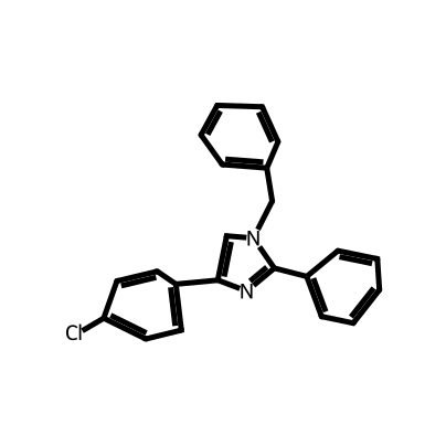 Clc1ccc(-c2cn(Cc3ccccc3)c(-c3ccccc3)n2)cc1